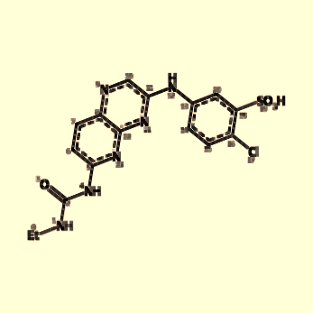 CCNC(=O)Nc1ccc2ncc(Nc3ccc(Cl)c(S(=O)(=O)O)c3)nc2n1